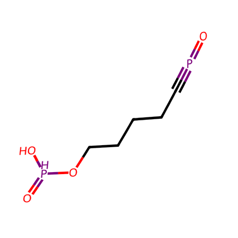 O=P#CCCCCO[PH](=O)O